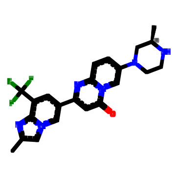 Cc1cn2cc(-c3cc(=O)n4cc(N5CCN[C@H](C)C5)ccc4n3)cc(C(F)(F)F)c2n1